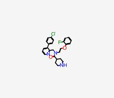 O=C(C1CCNCC1)N(CCOc1ccccc1F)Cc1ncccc1-c1ccc(Cl)cc1